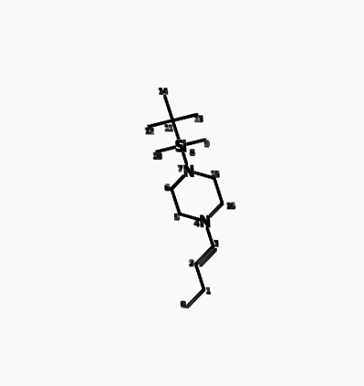 CCC=CN1CCN([Si](C)(C)C(C)(C)C)CC1